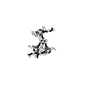 C[SiH]1CCO[Si](C)(CCCOCC2CO2)O[Si](C)(CCCn2c(=O)n(CCC[Si]3(C)O[Si](C)(CCCOCC4CO4)CCO[Si](C)(N)O3)c(=O)n(CCC[Si]3(C)O[SiH](C)CCO[Si](C)(CCCOCC4CO4)O3)c2=O)O1